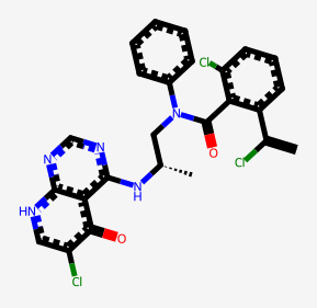 C=C(Cl)c1cccc(Cl)c1C(=O)N(C[C@H](C)Nc1ncnc2[nH]cc(Cl)c(=O)c12)c1ccccc1